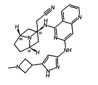 CN1CC(c2cc(Nc3cc4ncccc4c(N[C@@H]4C[C@H]5CC[C@@H](C4)N5CCC#N)n3)n[nH]2)C1